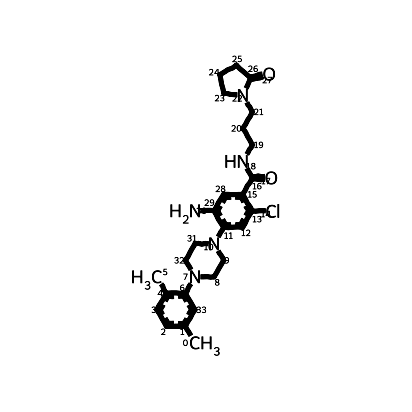 Cc1ccc(C)c(N2CCN(c3cc(Cl)c(C(=O)NCCCN4CCCC4=O)cc3N)CC2)c1